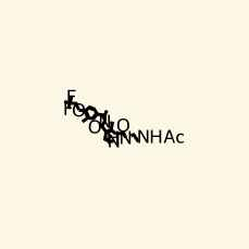 CC(=O)NCCNC(=O)c1nccc2c1CN(C(C)c1ccc(OCC(C)(F)F)c(C)c1)C2=O